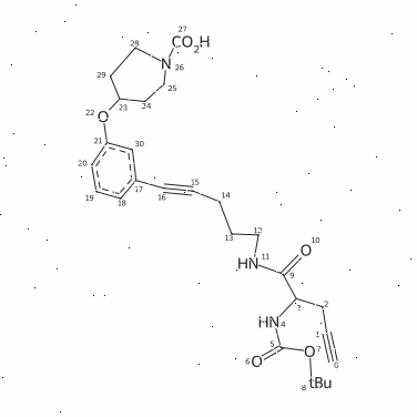 C#CCC(NC(=O)OC(C)(C)C)C(=O)NCCCC#Cc1cccc(OC2CCN(C(=O)O)CC2)c1